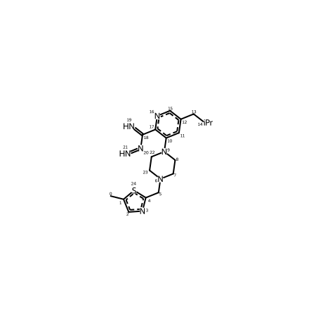 Cc1cnc(CN2CCN(c3cc(CC(C)C)cnc3C(=N)N=N)CC2)s1